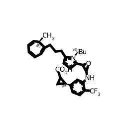 CC[C@H](C)n1c(CCCC2=CC=CC=C[C@H]2C)ccc1C1OC1Nc1cc([C@H]2CC2C(=O)O)ccc1C(F)(F)F